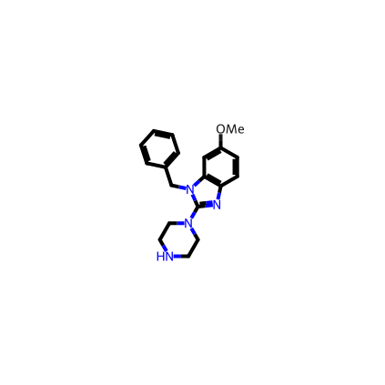 COc1ccc2nc(N3CCNCC3)n(Cc3ccccc3)c2c1